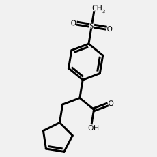 CS(=O)(=O)c1ccc(C(CC2CC=CC2)C(=O)O)cc1